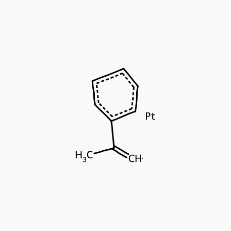 [CH]=C(C)c1ccccc1.[Pt]